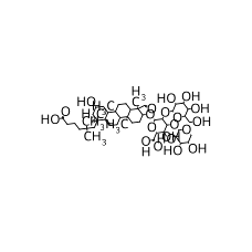 CC(C)(CCCC(=O)O)CC1C[C@H](O)C[C@]2(C)C1=CCC1C3(C)CCC(OC4OC(C(=O)O)C(O)C(OC5OCC(O)C(O)C5O)C4OC4OC(CO)C(O)C(O)C4O)[C@@](C)(C=O)C3CCC12C